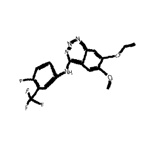 CCOc1cc2nnnc(Nc3ccc(F)c(C(F)(F)F)c3)c2cc1OC